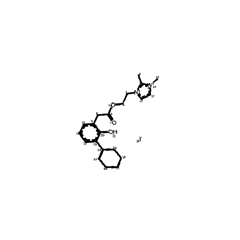 Cc1n(CCOC(=O)Cc2cccc(C3CCCCC3)c2O)cc[n+]1C.[I-]